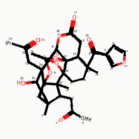 COC(=O)CC1C2(C)CC34OC5(C)OC67C(CC(=O)OC6C3(CC(=O)C(C)C)C2O)C(C)(C(=O)c2ccoc2)CCC7(O5)C14C